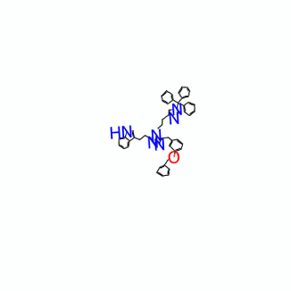 c1ccc(COc2cccc(Cc3nnc(CCc4c[nH]c5ccccc45)n3CCCc3cn(C(c4ccccc4)(c4ccccc4)c4ccccc4)cn3)c2)cc1